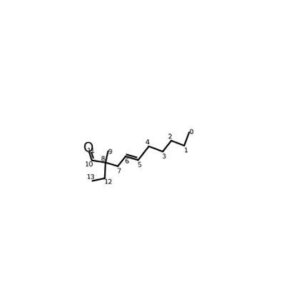 CCCCC/C=C/CC(C)(C=O)CC